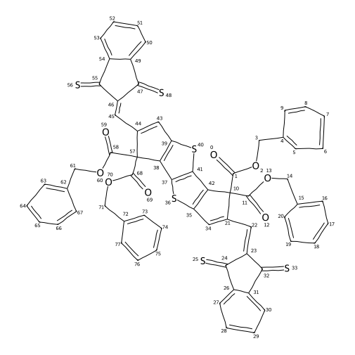 O=C(OCc1ccccc1)C1(C(=O)OCc2ccccc2)C(C=C2C(=S)c3ccccc3C2=S)=Cc2sc3c4c(sc3c21)C=C(C=C1C(=S)c2ccccc2C1=S)C4(C(=O)OCc1ccccc1)C(=O)OCc1ccccc1